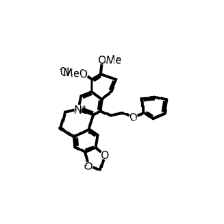 COc1ccc2c(CCOc3ccccc3)c3[n+](cc2c1OC)CCc1cc2c(cc1-3)OCO2.[Cl-]